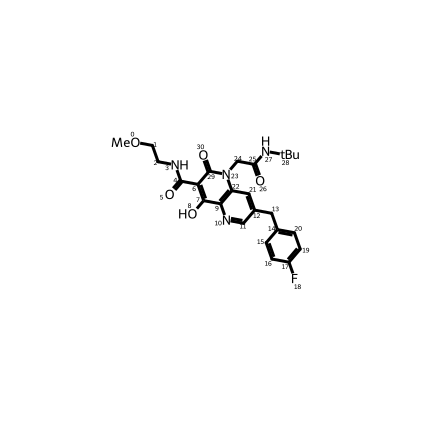 COCCNC(=O)c1c(O)c2ncc(Cc3ccc(F)cc3)cc2n(CC(=O)NC(C)(C)C)c1=O